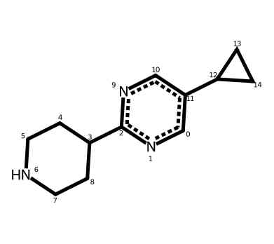 c1nc(C2CCNCC2)ncc1C1CC1